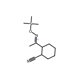 C/C(=N\O[Si](C)(C)C)C1CCCCC1C#N